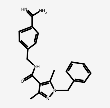 Cc1nn(Cc2ccccc2)c(C)c1C(=O)NCc1ccc(C(=N)N)cc1